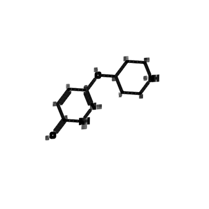 O=c1ccc(OC2CCNCC2)n[nH]1